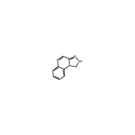 C1=Nc2ccccc2N2CNN=C12